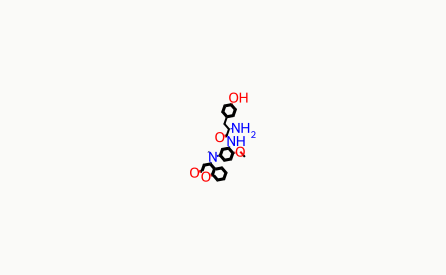 COc1ccc(N(C)c2cc(=O)oc3ccccc23)cc1NC(=O)[C@@H](N)Cc1ccc(O)cc1